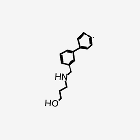 OCCCNCc1cccc(-c2cc[c]cc2)c1